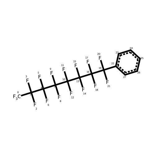 FC(F)(F)C(F)(F)C(F)(F)C(F)(F)C(F)(F)C(F)(F)C(F)(F)C(F)(F)c1cc[c]cc1